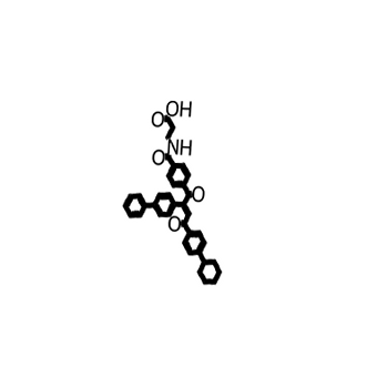 O=C(O)CCNC(=O)c1ccc(C(=O)C(=CC(=O)c2ccc(C3CCCCC3)cc2)c2ccc(-c3ccccc3)cc2)cc1